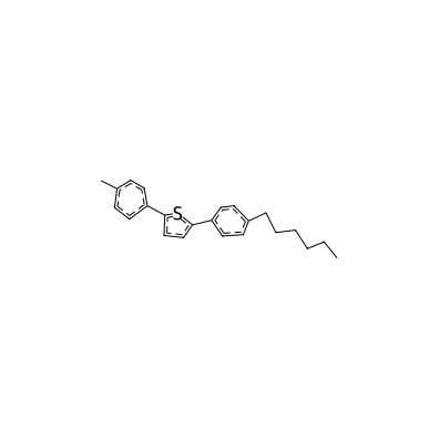 CCCCCCc1ccc(-c2ccc(-c3ccc(C)cc3)s2)cc1